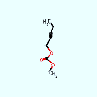 CCC#C[CH]OC(=O)OC